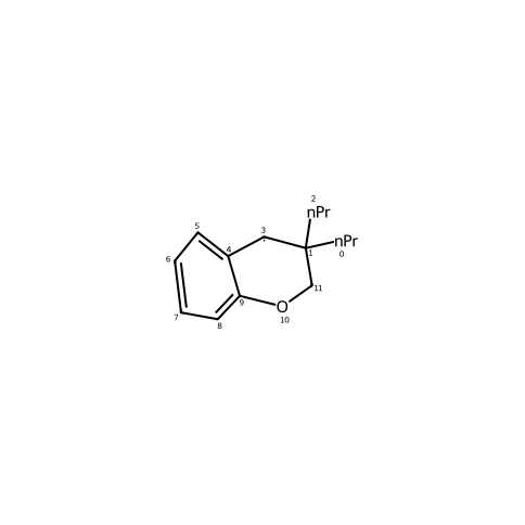 CCCC1(CCC)[CH]c2ccccc2OC1